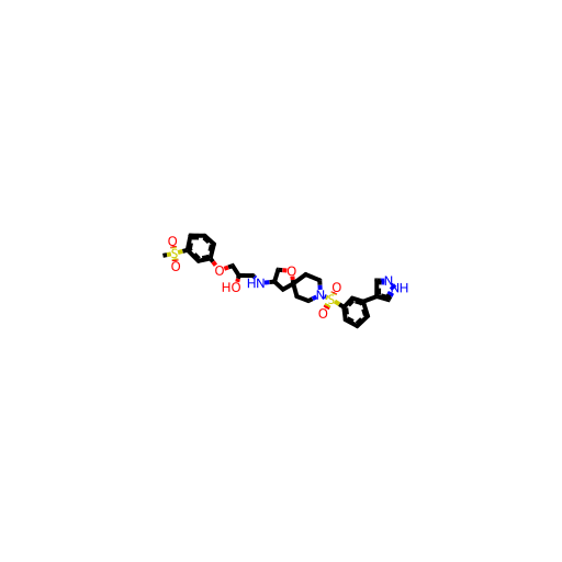 CS(=O)(=O)c1cccc(OCC(O)CNC2COC3(CCN(S(=O)(=O)c4cccc(-c5cn[nH]c5)c4)CC3)C2)c1